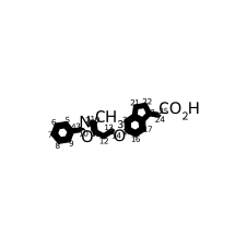 Cc1nc(-c2ccccc2)oc1CCOc1ccc2c(c1)CCC2CC(=O)O